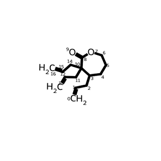 C=CCC1CCCOC(=O)C1(CC=C)CC=C